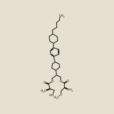 C=C(CO)C(=O)OCC(COC(=O)C(=C)COC)C1CCC(c2ccc(C3CCC(CCCCC)CC3)cc2)CC1